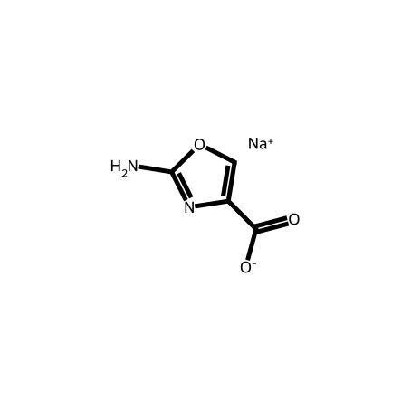 Nc1nc(C(=O)[O-])co1.[Na+]